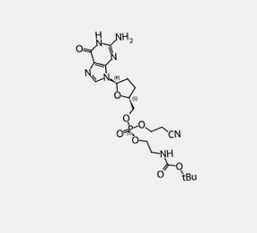 CC(C)(C)OC(=O)NCCO[P@](=O)(OCCC#N)OC[C@@H]1CC[C@H](n2cnc3c(=O)[nH]c(N)nc32)O1